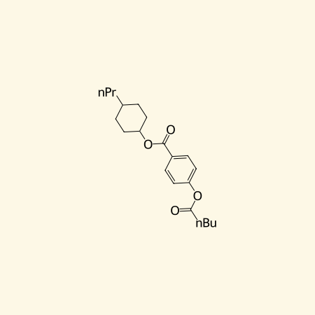 CCCCC(=O)Oc1ccc(C(=O)OC2CCC(CCC)CC2)cc1